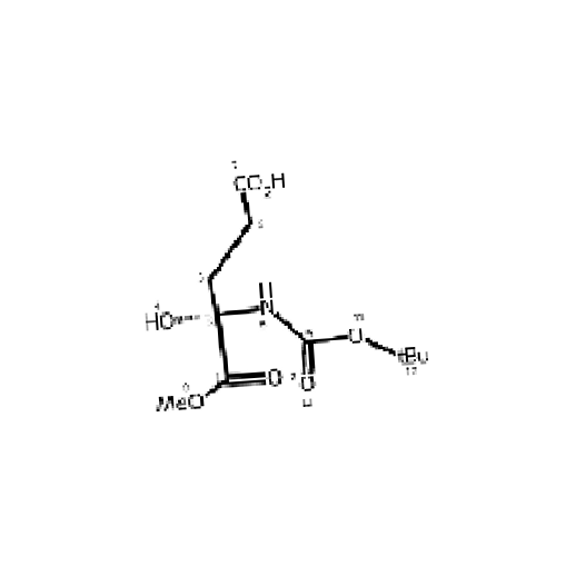 COC(=O)[C@@](O)(CCC(=O)O)NC(=O)OC(C)(C)C